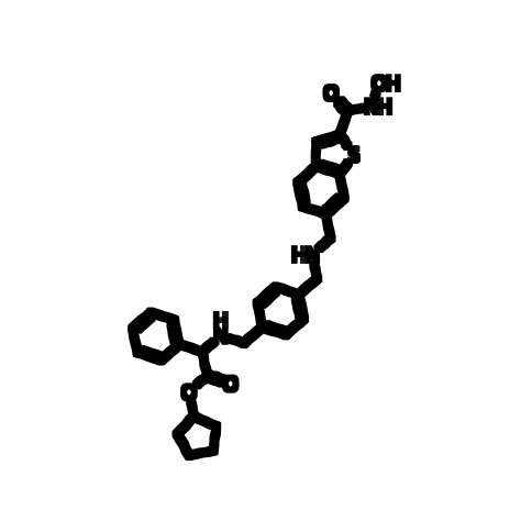 O=C(NO)c1cc2ccc(CNCc3ccc(CNC(C(=O)OC4CCCC4)c4ccccc4)cc3)cc2s1